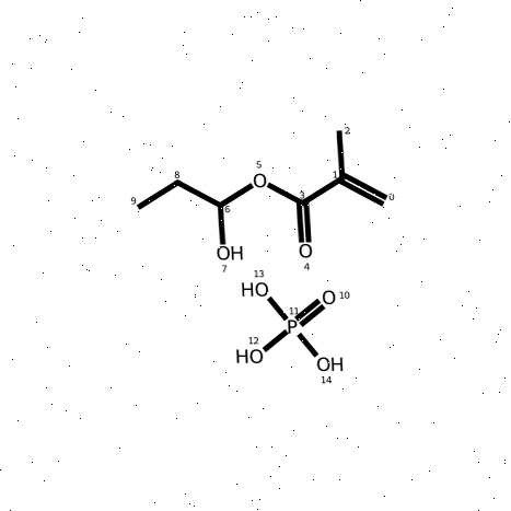 C=C(C)C(=O)OC(O)CC.O=P(O)(O)O